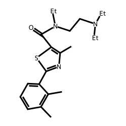 CCN(CC)CCN(CC)C(=O)c1sc(-c2cccc(C)c2C)nc1C